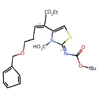 CCOC(=O)/C(=C/CCOCc1ccccc1)c1cs/c(=N\C(=O)OC(C)(C)C)n1C(=O)O